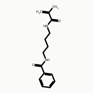 C=C(C)C(=O)NCCCCNC(=O)c1ccccc1